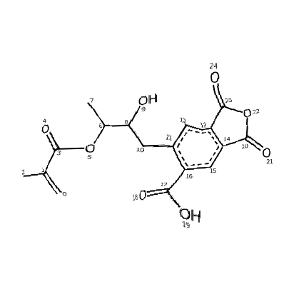 C=C(C)C(=O)OC(C)C(O)Cc1cc2c(cc1C(=O)O)C(=O)OC2=O